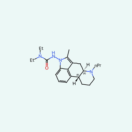 CCCN1CCC[C@@H]2c3cccc4c3c(c(C)n4NC(=O)N(CC)CC)C[C@H]21